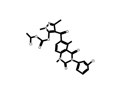 Cc1nn(C)c(OC(=O)OC(C)Cl)c1C(=O)c1ccc2c(c1C)c(=O)n(-c1cccc(Cl)c1)c(=O)n2C